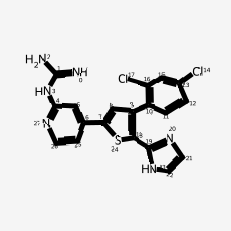 N=C(N)Nc1cc(-c2cc(-c3ccc(Cl)cc3Cl)c(-c3ncc[nH]3)s2)ccn1